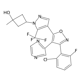 CC1(O)CC(n2ncc(-c3onc(-c4c(F)cccc4Cl)c3-c3cnccn3)c2C(F)(F)F)C1